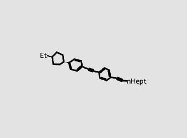 CCCCCCCC#Cc1ccc(C#Cc2ccc([C@H]3CC[C@H](CC)CC3)cc2)cc1